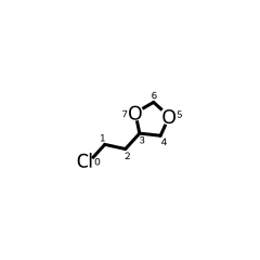 ClCCC1COCO1